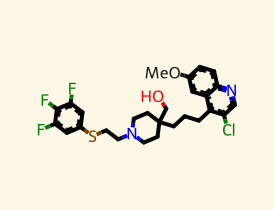 COc1ccc2ncc(Cl)c(CCCC3(CO)CCN(CCSc4cc(F)c(F)c(F)c4)CC3)c2c1